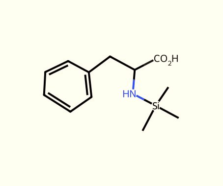 C[Si](C)(C)NC(Cc1ccccc1)C(=O)O